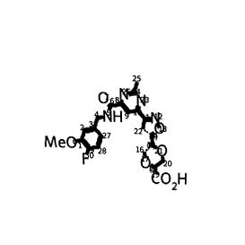 COc1cc(CNC(=O)c2cc(C3=NO[C@H]([C@H]4CO[C@H](C(=O)O)CO4)C3)nc(C)n2)ccc1F